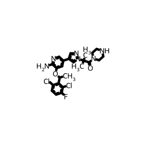 CC(Oc1cc(-c2cnn(C(C)(C)C(=O)N3CCNCC3)c2)cnc1N)c1c(Cl)ccc(F)c1Cl